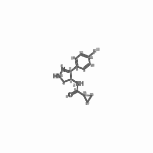 O=C(NC1CNN=C1c1ccc(F)cc1)C1CC1